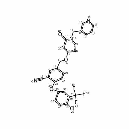 N#Cc1cc(COc2ccn(Cc3cccnc3)c(=O)n2)ccc1Oc1ccc(Cl)c(C(F)(F)F)c1